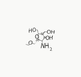 CCOC[C@@H]1OC(CO)[C@@H](CO)[C@@H](O)C1N